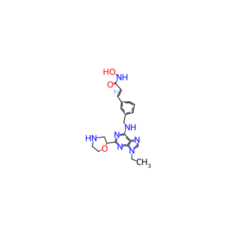 CCn1cnc2c(NCc3cccc(/C=C/C(=O)NO)c3)nc(C3CNCCO3)nc21